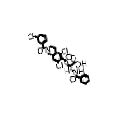 O=C(NC[C@H](NC(=O)c1c(Cl)cc2c(c1Cl)CCN(C(=O)c1cccc(Cl)c1)C2)C(=O)O)c1ccccc1